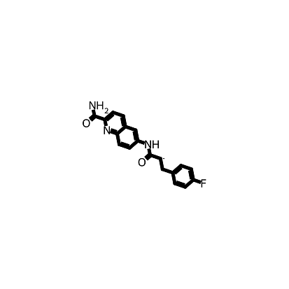 NC(=O)c1ccc2cc(NC(=O)[CH]Cc3ccc(F)cc3)ccc2n1